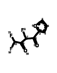 O=C(c1ccco1)C(F)C(=O)C(F)F